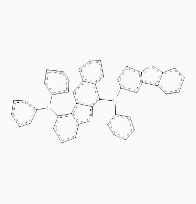 c1ccc(N(c2ccc3sc4ccccc4c3c2)c2c3ccccc3cc3c2oc2cccc(N(c4ccccc4)c4ccccc4)c23)cc1